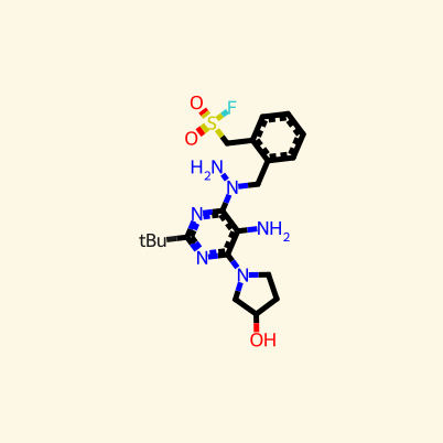 CC(C)(C)c1nc(N(N)Cc2ccccc2CS(=O)(=O)F)c(N)c(N2CCC(O)C2)n1